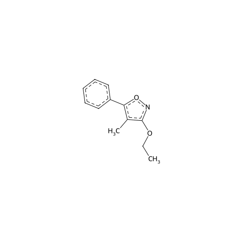 CCOc1noc(-c2ccccc2)c1C